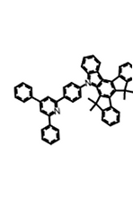 CC1(C)c2ccccc2-c2c1c1c(c3c2c2ccccc2n3-c2ccc(-c3cc(-c4ccccc4)cc(-c4ccccc4)n3)cc2)C(C)(C)c2ccccc2-1